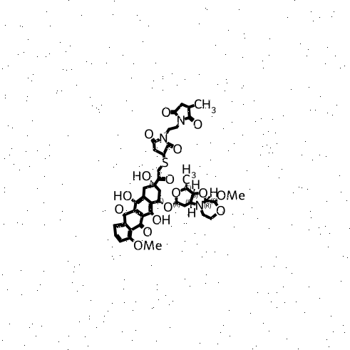 COc1cccc2c1C(=O)c1c(O)c3c(c(O)c1C2=O)C[C@@](O)(C(=O)CSC1CC(=O)N(CCN2C(=O)CC(C)C2=O)C1=O)C[C@@H]3O[C@H]1C[C@H]2[C@H](O[C@@H]3[C@@H](OC)OCCN32)[C@H](C)O1